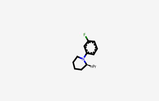 CCC[C@H]1CCC[CH]N1c1cccc(F)c1